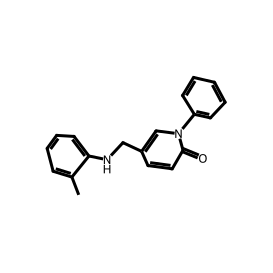 Cc1ccccc1NCc1ccc(=O)n(-c2ccccc2)c1